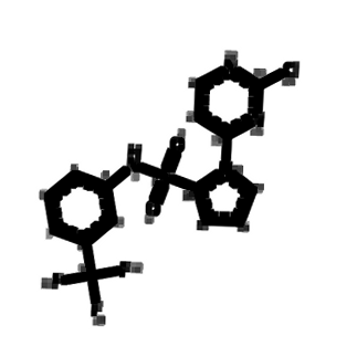 O=S(=O)(Nc1cccc(C(F)(F)F)c1)c1cccn1-c1ccnc(Cl)n1